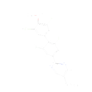 CCCCCc1cnc(-c2cc(F)c(-c3cc(F)c(OC(F)(F)F)c(F)c3)c(Cl)c2)nc1